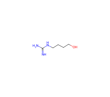 N=C(N)NCCCCO